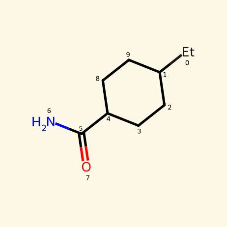 CCC1CCC(C(N)=O)CC1